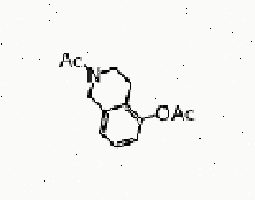 CC(=O)Oc1cccc2c1CCN(C(C)=O)C2